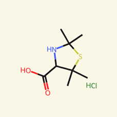 CC1(C)NC(C(=O)O)C(C)(C)S1.Cl